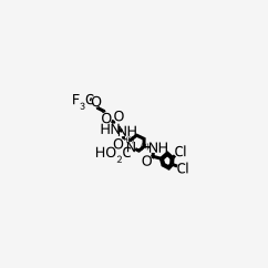 O=C(NNC(=O)[C@@H]1CC[C@@H](NC(=O)c2ccc(Cl)c(Cl)c2)CN1C(=O)O)OCCOC(F)(F)F